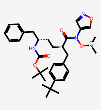 C[SiH](C)ON(C(=O)[C@H](CC[C@@H](Cc1ccccc1)NC(=O)OC(C)(C)C)Cc1ccc(C(C)(C)C)cc1)c1cnoc1